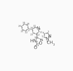 Cn1nccc1[C@@H]1OC(=O)N[C@H]1c1cncc(-c2ccccc2)c1